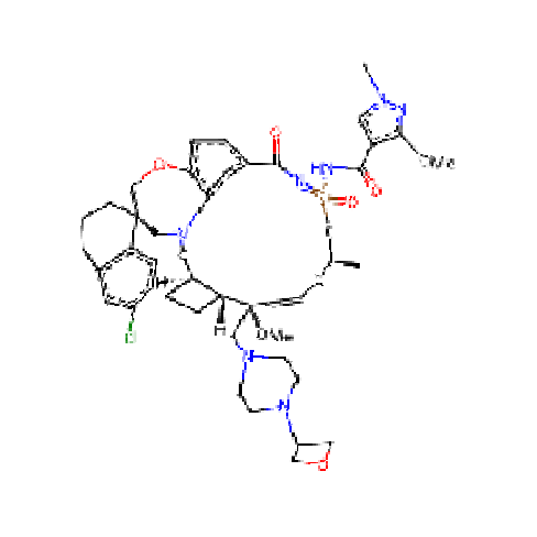 COc1nn(C)cc1C(=O)N[S@@]1(=O)=NC(=O)c2ccc3c(c2)N(C[C@@H]2CC[C@H]2[C@](CN2CCN(C4COC4)CC2)(OC)/C=C/C[C@H](C)C1)C[C@@]1(CCCc2cc(Cl)ccc21)CO3